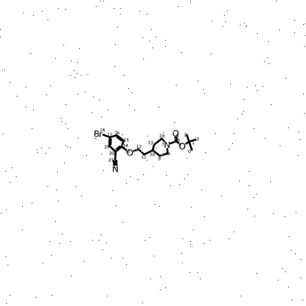 CC(C)(C)OC(=O)N1CCC(CCOc2ccc(Br)cc2C#N)CC1